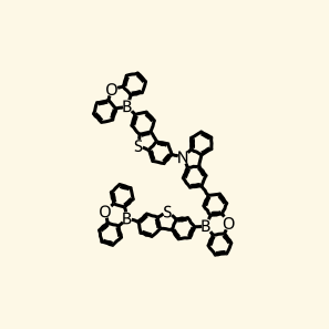 c1ccc2c(c1)Oc1ccccc1B2c1ccc2c(c1)sc1cc(B3c4ccccc4Oc4ccc(-c5ccc6c(c5)c5ccccc5n6-c5ccc6sc7cc(B8c9ccccc9Oc9ccccc98)ccc7c6c5)cc43)ccc12